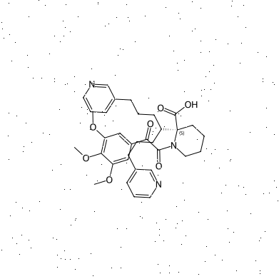 COc1cc(C(=O)C(=O)N2CCCC[C@@]2(C(=O)O)C(CCCc2cccnc2)CCCc2cccnc2)cc(OC)c1OC